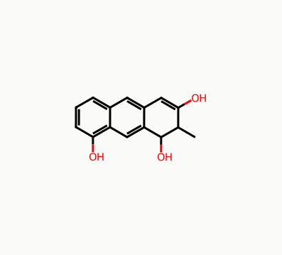 CC1C(O)=Cc2cc3cccc(O)c3cc2C1O